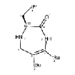 CC(C)C[C@@H]1NCC(C(C)(C)C)=C(C(C)(C)C)NC1=O